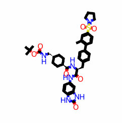 Cc1cc(S(=O)(=O)N2CCCC2)ccc1-c1ccc(C[C@H](NC(=O)[C@H]2CC[C@H](CNC(=O)OC(C)(C)C)CC2)C(=O)Nc2ccc3[nH]c(=O)[nH]c3c2)cc1